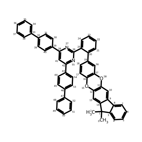 CC1(C)c2ccccc2-c2cc3c(cc21)Oc1ccc(-c2ccccc2-c2nc(-c4ccc(-c5ccccc5)cc4)cc(-c4ccc(-c5ccccc5)cc4)n2)cc1O3